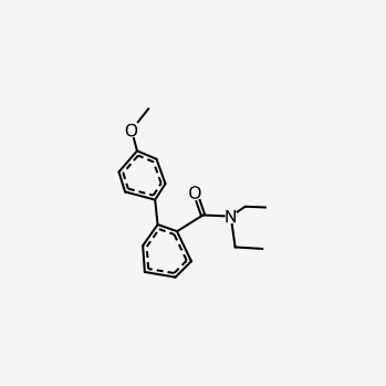 CCN(CC)C(=O)c1ccccc1-c1ccc(OC)cc1